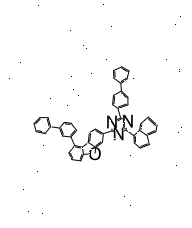 c1ccc(-c2ccc(-c3nc(-c4ccc5c(c4)oc4cccc(-c6cccc(-c7ccccc7)c6)c45)nc(-c4cccc5ccccc45)n3)cc2)cc1